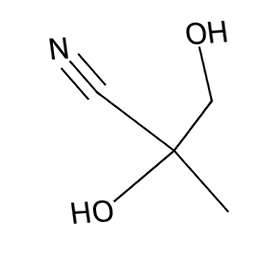 CC(O)(C#N)CO